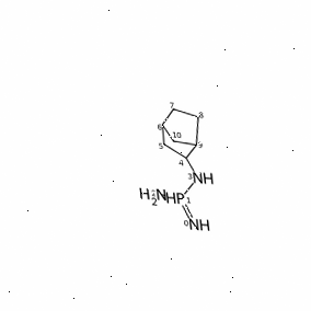 N=[PH](N)NC1CC2CCC1C2